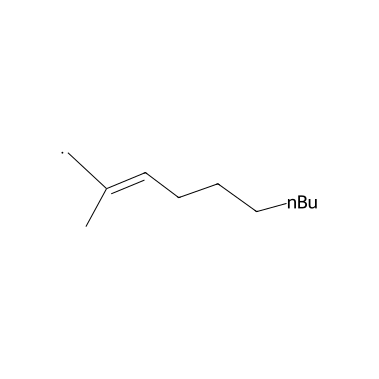 [CH2]C(C)=CCCCCCCC